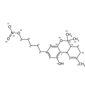 CC1=CC2c3c(O)cc(CCCCCO[N+](=O)[O-])cc3OC(C)(C)C2CC1